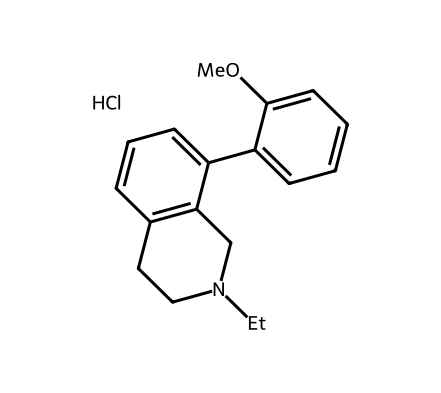 CCN1CCc2cccc(-c3ccccc3OC)c2C1.Cl